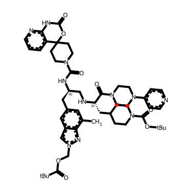 Cc1cc(C[C@H](CN[C@@H](CC2CCN(C(=O)OC(C)(C)C)CC2)C(=O)N2CCN(c3ccncc3)CC2)NC(=O)N2CCC3(CC2)OC(=O)Nc2ncccc23)cc2cn(COC(=O)C(C)(C)C)nc12